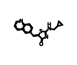 O=C1N=C(NCC2CC2)S/C1=C\c1ccc2ncccc2c1